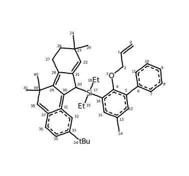 C=CCOc1c(-c2ccccc2)cc(C)cc1[Si](CC)(CC)C1C2=CC(C)(C)CCC2=C2C1=c1cc(C(C)(C)C)ccc1=CC2(C)C